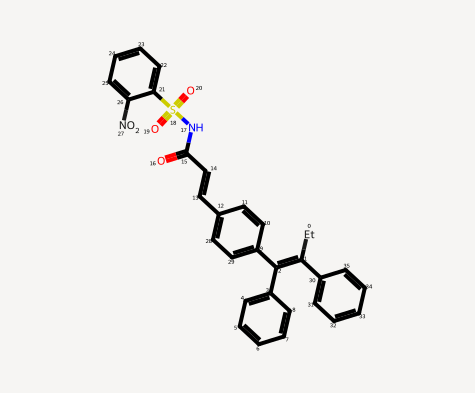 CCC(=C(c1ccccc1)c1ccc(C=CC(=O)NS(=O)(=O)c2ccccc2[N+](=O)[O-])cc1)c1ccccc1